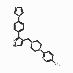 FC(F)(F)c1ccc(N2CCN(Cc3c[nH]nc3-c3ccc(-n4ccnc4)cc3)CC2)nc1